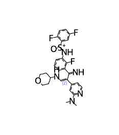 CN(C)c1cc(/C(=C/NC2CCOCC2)C(=N)c2cccc(N[S+]([O-])c3cc(F)ccc3F)c2F)ccn1